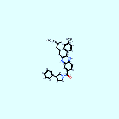 CC(CCCc1nc2cc(C(=O)N3CCC(c4ccccc4)C3)ccc2nc1-c1ccc(C(F)(F)F)cc1)C(=O)O